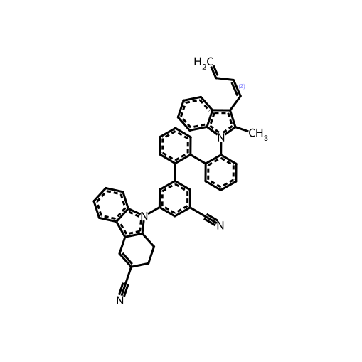 C=C/C=C\c1c(C)n(-c2ccccc2-c2ccccc2-c2cc(C#N)cc(-n3c4c(c5ccccc53)C=C(C#N)CC4)c2)c2ccccc12